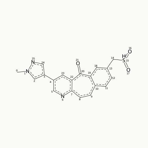 Cn1cc(-c2cnc3ccc4ccc(C[SH](=O)=O)cc4c(=O)c3c2)cn1